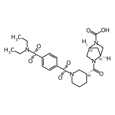 CCN(CC)S(=O)(=O)c1ccc(S(=O)(=O)N2CCC[C@@H](C(=O)N3C[C@@H]4C[C@H]3CN4C(=O)O)C2)cc1